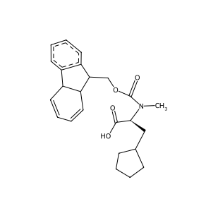 CN(C(=O)OCC1c2ccccc2C2C=CC=CC21)[C@@H](CC1CCCC1)C(=O)O